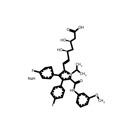 COc1cccc(NC(=O)c2c(-c3ccc(F)cc3)c(-c3ccc(F)cc3)c(/C=C/[C@@H](O)C[C@@H](O)CC(=O)O)n2C(C)C)c1.[NaH]